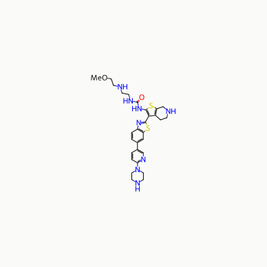 COCCNCCNC(=O)Nc1sc2c(c1-c1nc3ccc(-c4ccc(N5CCNCC5)nc4)cc3s1)CCNC2